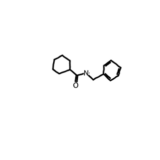 O=C([N]Cc1ccccc1)C1CCCCC1